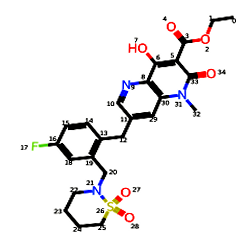 CCOC(=O)c1c(O)c2ncc(Cc3ccc(F)cc3CN3CCCCS3(=O)=O)cc2n(C)c1=O